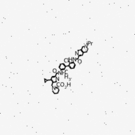 Cc1c(NC(=O)c2cc(C3CC3)c(CN3CCCC[C@H]3C(=O)O)cn2)cccc1-c1cccc(NC(=O)c2cc3c(cn2)CN(C(C)C)CC3)c1Cl